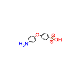 Nc1ccc(Oc2ccc(S(=O)(=O)O)cc2)cc1